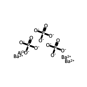 O=P([O-])([O-])[O-].O=P([O-])([O-])[O-].O=P([O-])([O-])[O-].[Al+3].[Ba+2].[Ba+2].[Ba+2]